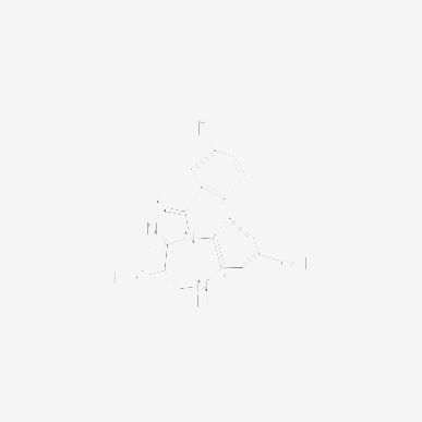 CC1CNc2cc(O)ccc2-n2c(-c3cccc(F)c3)nnc21